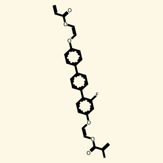 C=CC(=O)O/C=C\Oc1ccc(-c2ccc(-c3ccc(O/C=C\OC(=O)C(=C)C)cc3F)cc2)cc1